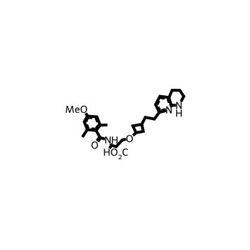 COc1cc(C)c(C(=O)NC(CCOC2CC(CCc3ccc4c(n3)NCCC4)C2)C(=O)O)c(C)c1